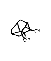 OC1C2CC3CC(CC(O)(C3)C2)C1O